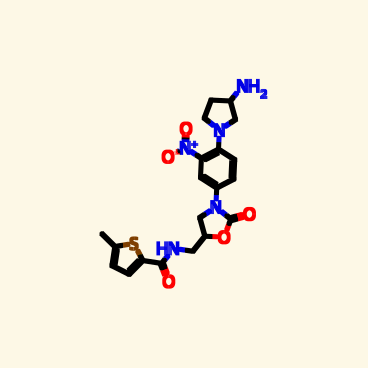 Cc1ccc(C(=O)NCC2CN(c3ccc(N4CCC(N)C4)c([N+](=O)[O-])c3)C(=O)O2)s1